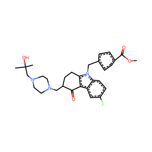 COC(=O)c1ccc(Cn2c3c(c4cc(F)ccc42)C(=O)C(CN2CCN(CC(C)(C)O)CC2)CC3)cc1